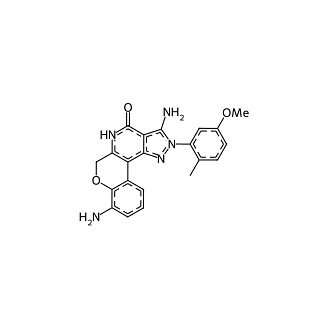 COc1ccc(C)c(-n2nc3c4c([nH]c(=O)c3c2N)COc2c(N)cccc2-4)c1